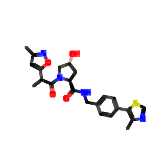 Cc1cc(C(C)C(=O)N2C[C@H](O)C[C@H]2C(=O)NCc2ccc(-c3scnc3C)cc2)on1